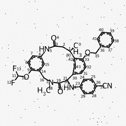 C[C@@H]1CC(=O)Nc2ccc(OC(F)F)c(c2)CN(C)C(=O)[C@H](Nc2ccc(C#N)cc2)c2ccc(OCc3ccccc3)c1c2